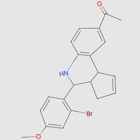 COc1ccc(C2Nc3ccc(C(C)=O)cc3C3C=CCC32)c(Br)c1